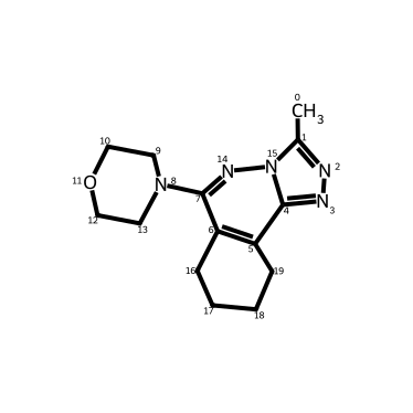 Cc1nnc2c3c(c(N4CCOCC4)nn12)CCCC3